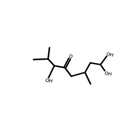 CC(CC(=O)C(O)C(C)C)CC(O)O